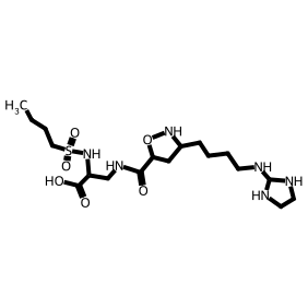 CCCCS(=O)(=O)NC(CNC(=O)C1CC(CCCCNC2NCCN2)NO1)C(=O)O